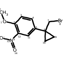 COc1ccc(C2(CBr)CC2)cc1[N+](=O)[O-]